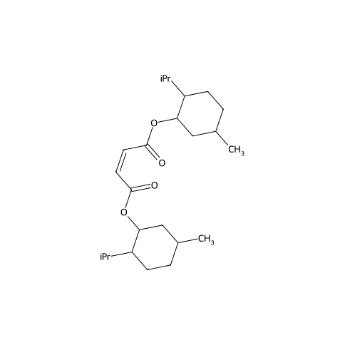 CC1CCC(C(C)C)C(OC(=O)/C=C\C(=O)OC2CC(C)CCC2C(C)C)C1